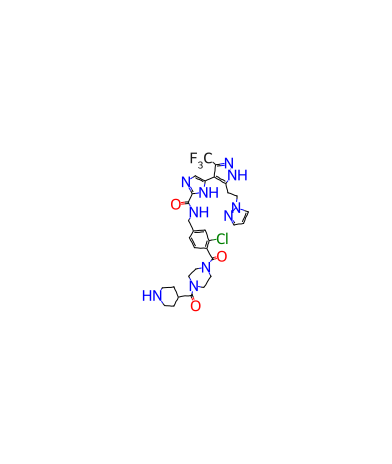 O=C(NCc1ccc(C(=O)N2CCN(C(=O)C3CCNCC3)CC2)c(Cl)c1)c1ncc(-c2c(C(F)(F)F)n[nH]c2CCn2cccn2)[nH]1